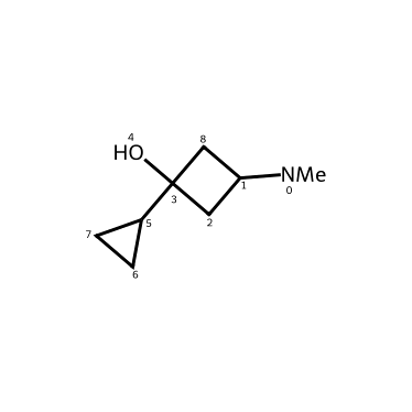 CNC1CC(O)(C2CC2)C1